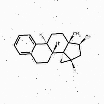 C[C@]12CC[C@@H]3c4cc[c]cc4CC[C@H]3[C@@]13C[C@H]3C[C@@H]2O